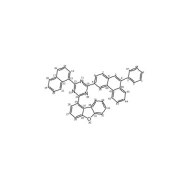 c1ccc(-c2cc3ccc(-c4nc(-c5cccc6ccccc56)nc(-c5cccc6oc7ccccc7c56)n4)cc3c3ccccc23)cc1